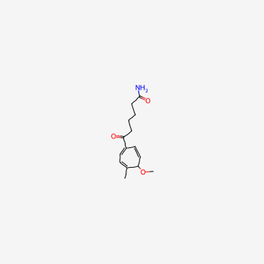 COC1C=CC(C(=O)CCCCC(N)=O)=CC=C1C